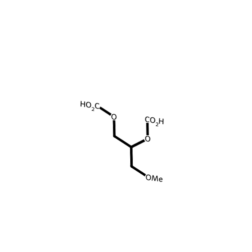 COCC(COC(=O)O)OC(=O)O